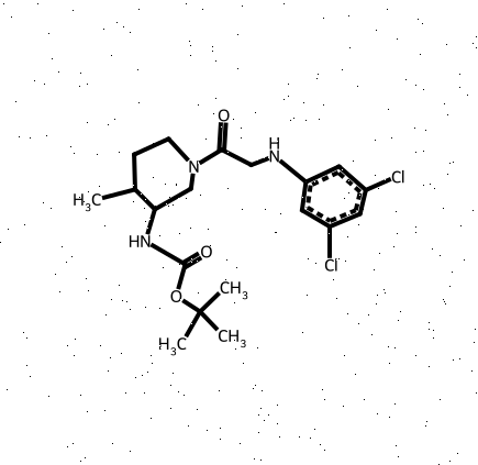 CC1CCN(C(=O)CNc2cc(Cl)cc(Cl)c2)CC1NC(=O)OC(C)(C)C